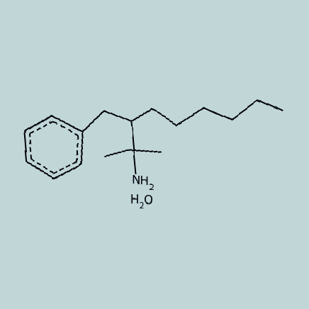 CCCCCCC(Cc1ccccc1)C(C)(C)N.O